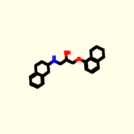 OC(CNC1CCc2ccccc2C1)COc1cccc2c1CCCC2